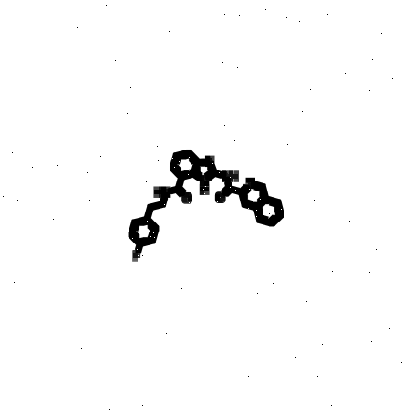 O=C(Nc1nc2cccc(C(=O)NCCc3ccc(F)cc3)c2[nH]1)c1cc2ccccc2cn1